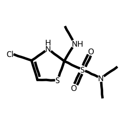 CNC1(S(=O)(=O)N(C)C)NC(Cl)=CS1